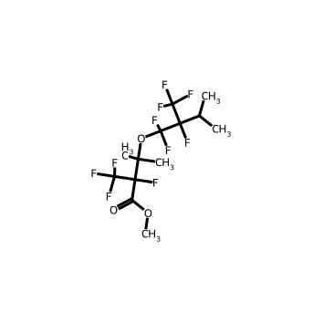 COC(=O)C(F)(C(F)(F)F)C(C)(C)OC(F)(F)C(F)(C(C)C)C(F)(F)F